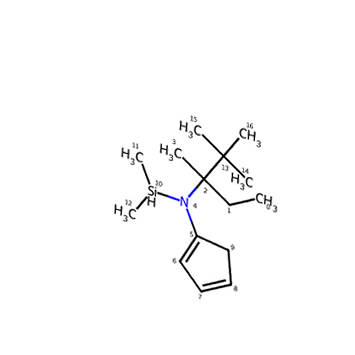 CCC(C)(N(C1=CC=CC1)[SiH](C)C)C(C)(C)C